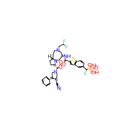 N#C[C@@H]1CN(C(=O)[C@@H]2CC[C@@H]3CCN(CC(F)F)C[C@H](NC(=O)c4cc5cc(C(F)P(=O)(O)O)ccc5s4)C(=O)N32)C[C@H]1c1ccccc1